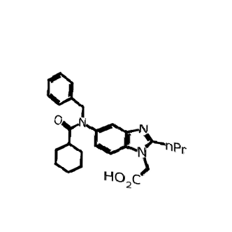 CCCc1nc2cc(N(Cc3ccccc3)C(=O)C3CCCCC3)ccc2n1CC(=O)O